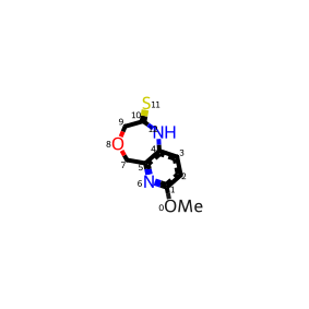 COc1ccc2c(n1)COCC(=S)N2